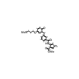 CNCCCOc1ccc(=O)n(Cc2cccc(C(=O)Nc3cn(C)nc3C(=O)OC)c2)n1